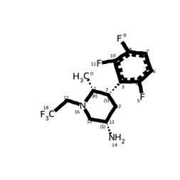 C[C@@H]1[C@H](c2c(F)ccc(F)c2F)C[C@H](N)CN1CC(F)(F)F